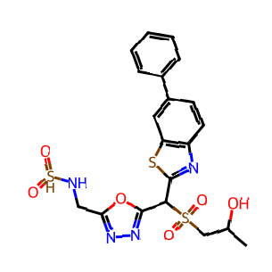 CC(O)CS(=O)(=O)C(c1nnc(CN[SH](=O)=O)o1)c1nc2ccc(-c3ccccc3)cc2s1